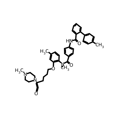 Cc1ccc(-c2ccccc2C(=O)Nc2ccc(C(=O)N(C)c3ccc(C)cc3OCCCCC(=C=O)N3CCN(C)CC3)cc2)cc1